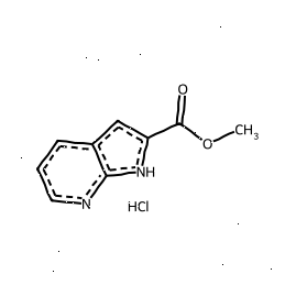 COC(=O)c1cc2cccnc2[nH]1.Cl